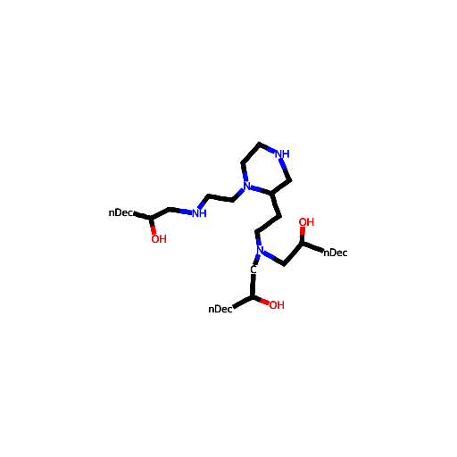 CCCCCCCCCCC(O)CNCCN1CCNCC1CCN(CC(O)CCCCCCCCCC)CC(O)CCCCCCCCCC